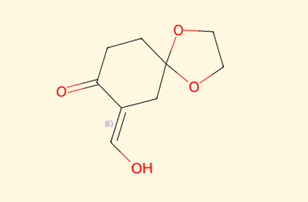 O=C1CCC2(C/C1=C\O)OCCO2